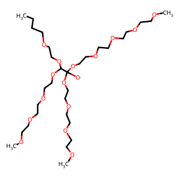 CCCCOCCOC(OCCOCCOCCOC)C([O])(OCCOCCOCCOC)OCCOCCOCCOCCOC